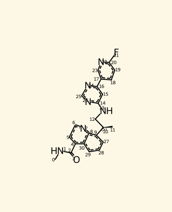 CNC(=O)c1ccnc2c([C@H](C)CNc3cc(-c4ccc(F)nc4)ncn3)cccc12